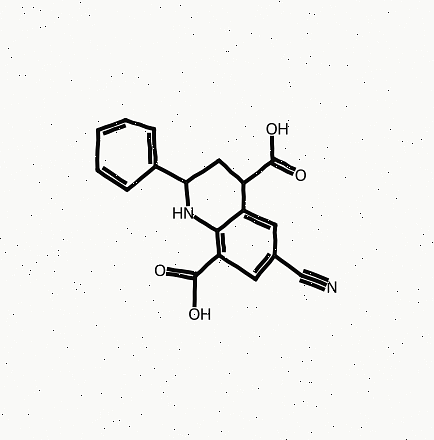 N#Cc1cc(C(=O)O)c2c(c1)C(C(=O)O)CC(c1ccccc1)N2